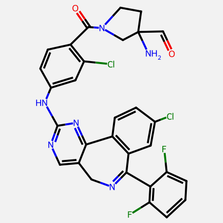 NC1(C=O)CCN(C(=O)c2ccc(Nc3ncc4c(n3)-c3ccc(Cl)cc3C(c3c(F)cccc3F)=NC4)cc2Cl)C1